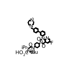 CC(C)[C@@H](C(=O)NC1CCC(n2c(=O)c3cc(F)cnc3n(-c3cccc(-c4ccc(CN5CCCN(C)CC5)cc4)c3)c2=O)CC1)N(C(=O)O)C(C)(C)C